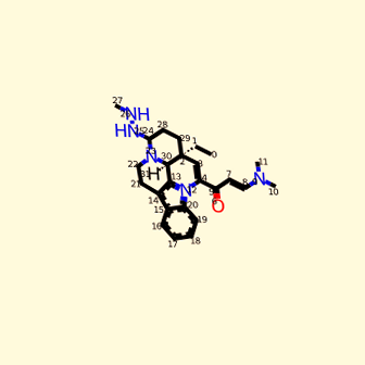 CC[C@@]12C=C(C(=O)/C=C/N(C)C)n3c4c(c5ccccc53)CCN(C(NNC)CC1)[C@H]42